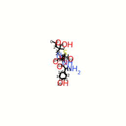 CC=CC1(C(=O)O)CS[C@@H]2[C@H](NC(=O)C(N)c3ccc(O)cc3)C(=O)N2C1.O